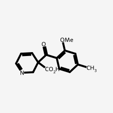 COc1cc(C)ccc1C(=O)C1(C(=O)O)C=CC=NC1